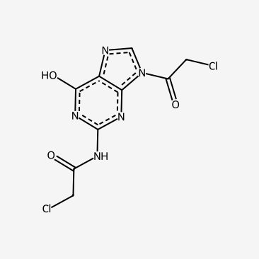 O=C(CCl)Nc1nc(O)c2ncn(C(=O)CCl)c2n1